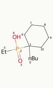 CCCCC1(P(=O)(O)CC)CCCCC1